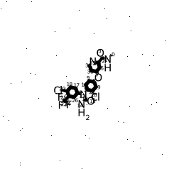 CNC(=O)c1cc(Oc2ccc(N(C(N)=O)c3ccc(Cl)c(C(F)(F)F)c3)c(Cl)c2)ccn1